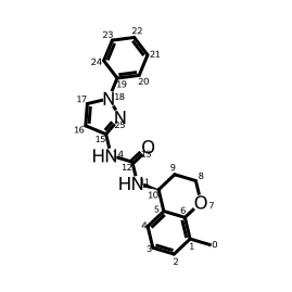 Cc1cccc2c1OCC[C@@H]2NC(=O)Nc1ccn(-c2ccccc2)n1